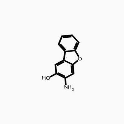 Nc1cc2oc3ccccc3c2cc1O